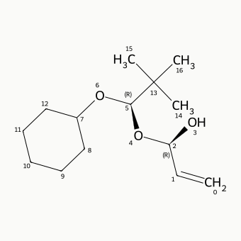 C=C[C@H](O)O[C@@H](OC1CCCCC1)C(C)(C)C